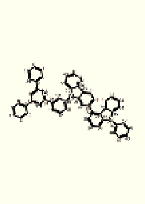 c1ccc(-c2cc(-c3ccccc3)nc(-c3cccc(-n4c5cc(-c6cccc7c6c6ccccc6n7-c6ccccc6)ccc5c5ncccc54)c3)n2)cc1